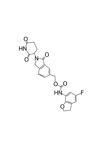 O=C1CCC(N2Cc3ccc(COC(=O)Nc4cc(F)cc5c4OCC5)cc3C2=O)C(=O)N1